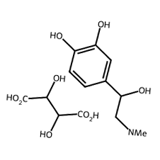 CNCC(O)c1ccc(O)c(O)c1.O=C(O)C(O)C(O)C(=O)O